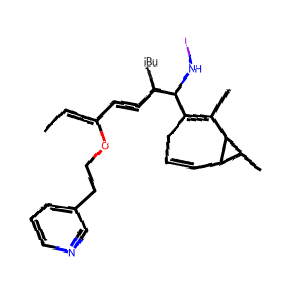 C/C=C(/C=C/C(C(C)CC)C(NI)C1=C(C)C2C(C)C2C=CC1)OCCc1cccnc1